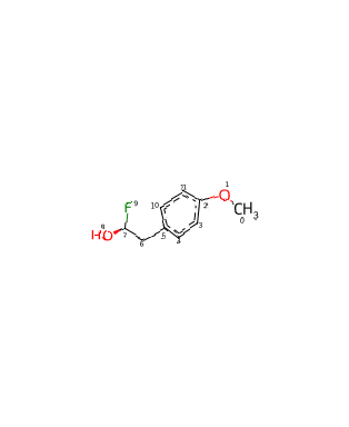 COc1ccc(C[C@@H](O)F)cc1